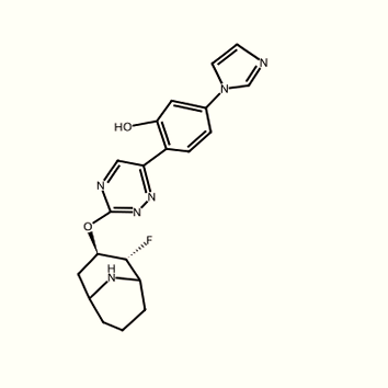 Oc1cc(-n2ccnc2)ccc1-c1cnc(O[C@@H]2CC3CCCC(N3)[C@H]2F)nn1